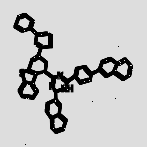 C1=C(c2cccc(-c3ccccc3)c2)CC(C2=NC(c3ccc4ccccc4c3)NC(c3ccc(-c4ccc5ccccc5c4)cc3)=N2)c2c1sc1ccccc21